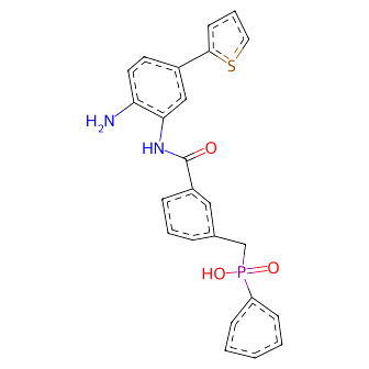 Nc1ccc(-c2cccs2)cc1NC(=O)c1cccc(CP(=O)(O)c2ccccc2)c1